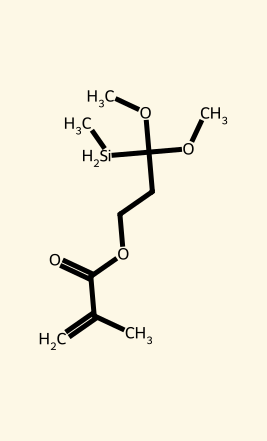 C=C(C)C(=O)OCCC(OC)(OC)[SiH2]C